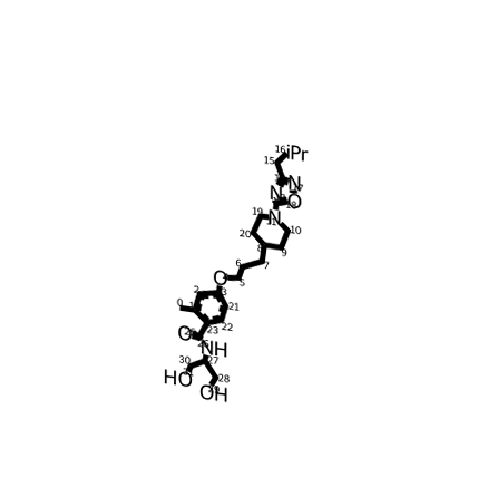 Cc1cc(OCCCC2CCN(c3nc(CC(C)C)no3)CC2)ccc1C(=O)NC(CO)CO